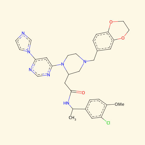 COc1ccc(C(C)NC(=O)CC2CN(Cc3ccc4c(c3)OCCO4)CCN2c2cc(-n3ccnc3)ncn2)cc1Cl